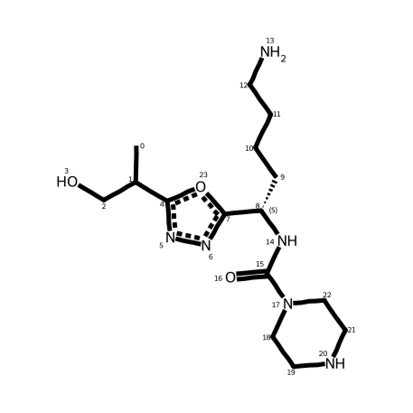 CC(CO)c1nnc([C@H](CCCCN)NC(=O)N2CCNCC2)o1